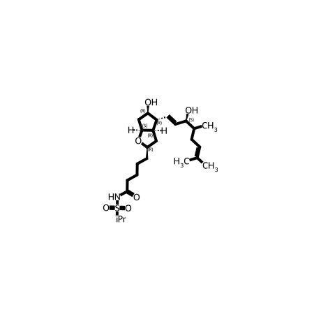 CC(C)=CCC(C)[C@H](O)C=C[C@@H]1[C@H]2C[C@@H](CCCCC(=O)NS(=O)(=O)C(C)C)O[C@H]2C[C@H]1O